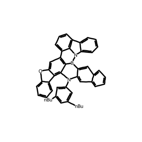 CCCCc1cc(CCCC)cc(N2c3cc4ccccc4cc3B3c4c(cc5oc6ccccc6c5c42)-c2cccc4c5ccccc5n3c24)c1